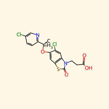 C[C@@H](Oc1cc2sc(=O)n(CCC(=O)O)c2cc1Cl)c1ccc(Cl)cn1